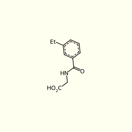 CCc1cccc(C(=O)NCC(=O)O)c1